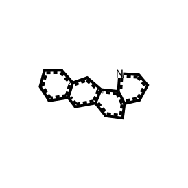 c1ccc2cc3c(ccc4cccnc43)cc2c1